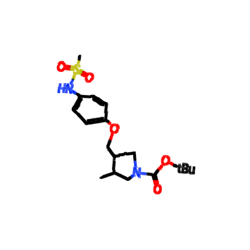 CC1CN(C(=O)OC(C)(C)C)CC1COc1ccc(NS(C)(=O)=O)cc1